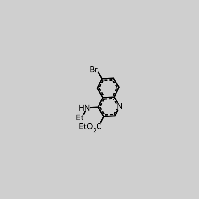 CCNc1c(C(=O)OCC)cnc2ccc(Br)cc12